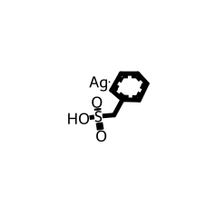 O=S(=O)(O)Cc1ccccc1.[Ag]